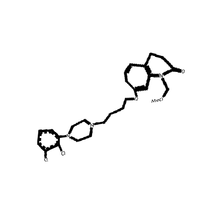 COCN1C(=O)CCC2=C1C=C(OCCCCN1CCN(c3cccc(Cl)c3Cl)CC1)CC=C2